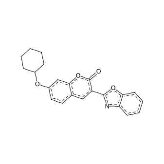 O=c1oc2cc(OC3CCCCC3)ccc2cc1-c1nc2ccccc2o1